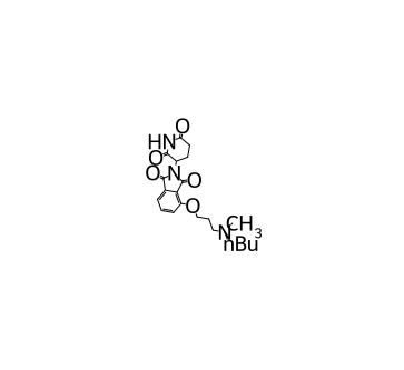 CCCCN(C)CCCOc1cccc2c1C(=O)N(C1CCC(=O)NC1=O)C2=O